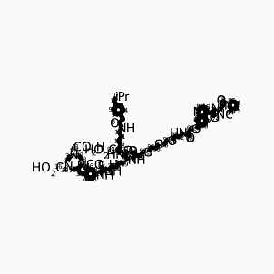 CC(C)Cc1ccc(CC(=O)NCCCC[C@H](NC(=O)[C@H](CCCCNC(=S)Nc2ccc(CC3CN(CC(=O)O)CCN(CC(=O)O)CCN3CC(=O)O)cc2)NC(=O)CCOCCOCCOCCNC(=O)COc2ccc3c(C(=O)NCC(=O)N4CCC[C@H]4C#N)ccnc3c2)C(=O)O)cc1